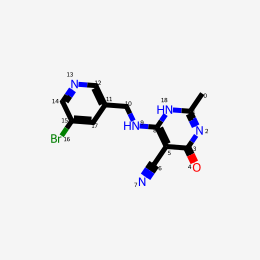 Cc1nc(=O)c(C#N)c(NCc2cncc(Br)c2)[nH]1